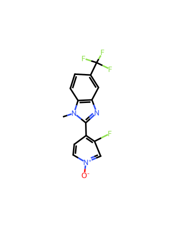 Cn1c(-c2cc[n+]([O-])cc2F)nc2cc(C(F)(F)F)ccc21